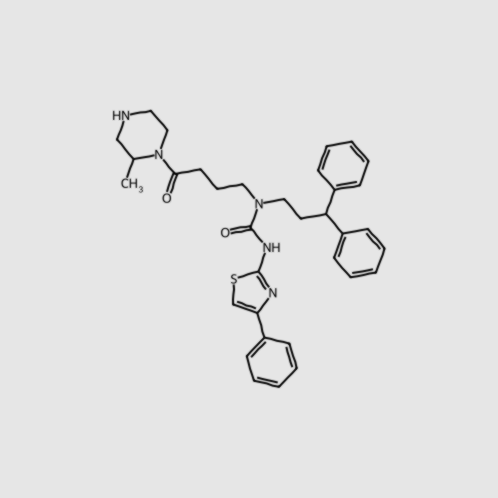 CC1CNCCN1C(=O)CCCN(CCC(c1ccccc1)c1ccccc1)C(=O)Nc1nc(-c2ccccc2)cs1